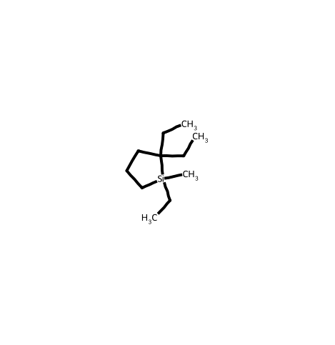 CCC1(CC)CCC[Si]1(C)CC